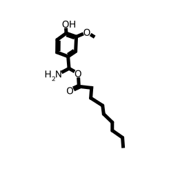 CCCCCCCCC(=O)OC(N)c1ccc(O)c(OC)c1